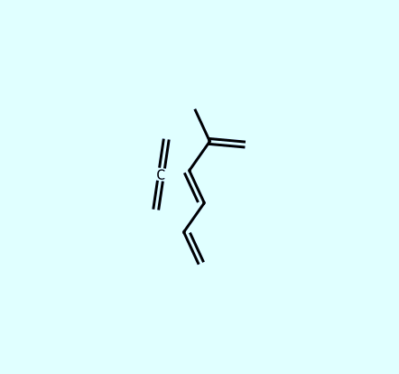 C=C=C.C=CC=CC(=C)C